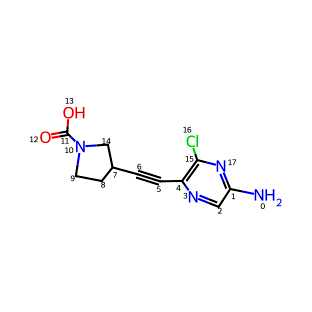 Nc1cnc(C#CC2CCN(C(=O)O)C2)c(Cl)n1